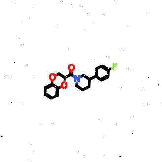 O=C(C1COc2ccccc2O1)N1CCCC(c2ccc(F)cc2)C1